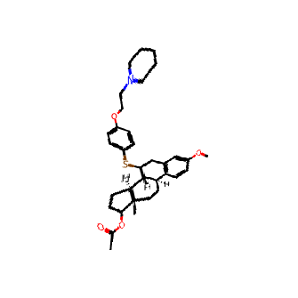 COc1ccc2c(c1)CC(Sc1ccc(OCCN3CCCCC3)cc1)[C@@H]1[C@@H]2CC[C@]2(C)C(OC(C)=O)CC[C@@H]12